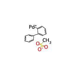 CS(=O)(=O)[O-].[Pd+][c]1ccccc1-c1ccccc1